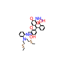 CCSCCN(CCSCC)c1ccccc1NCc1c(O)ccc2c(-c3ccccc3C(=O)O)c3cc(N)c(=O)cc-3oc12